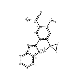 COc1cc(C2(C(=O)O)CC2)c(-c2cn3cccnc3n2)cc1C(N)=O